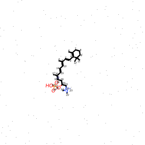 CC(C=CC1=C(C)CCCC1(C)C)=CC=C/C(C)=C\CC(C[N+](C)(C)C)OP(=O)([O-])O